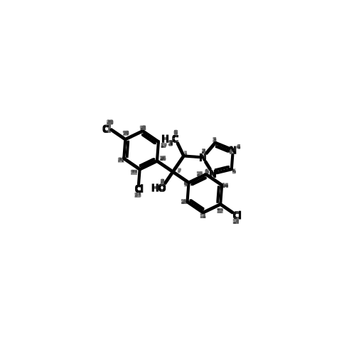 CC(n1cncn1)C(O)(c1ccc(Cl)cc1)c1ccc(Cl)cc1Cl